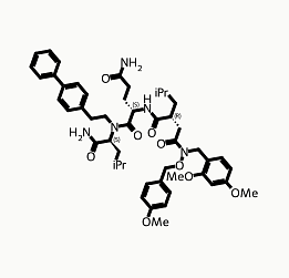 COc1ccc(CON(Cc2ccc(OC)cc2OC)C(=O)C[C@@H](CC(C)C)C(=O)N[C@@H](CCC(N)=O)C(=O)N(CCc2ccc(-c3ccccc3)cc2)[C@@H](CC(C)C)C(N)=O)cc1